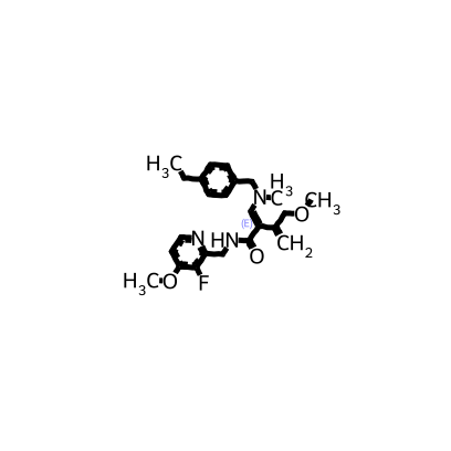 C=C(COC)/C(=C\N(C)Cc1ccc(CC)cc1)C(=O)NCc1nccc(OC)c1F